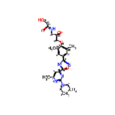 CCN(CC)c1nc(C)cc(-c2nc(-c3cc(C)c(OC[C@@H](O)CNC(=O)CO)c(C)c3)no2)n1